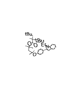 CCn1c(-c2ccc(OC(C)(C)CC(C)(C)OC(=O)C(C)(CC(C)(C)C)C(C)(C)C)cc2)cc2ccccc21